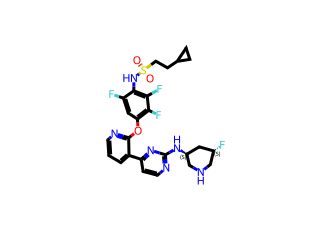 O=S(=O)(CCC1CC1)Nc1c(F)cc(Oc2ncccc2-c2ccnc(N[C@@H]3CNC[C@@H](F)C3)n2)c(F)c1F